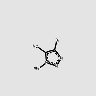 CCCn1nnc(Br)c1C#N